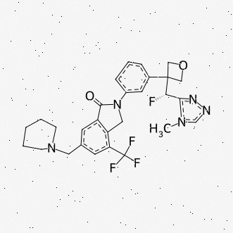 Cn1cnnc1[C@H](F)C1(c2cccc(N3Cc4c(cc(CN5CCCCC5)cc4C(F)(F)F)C3=O)c2)COC1